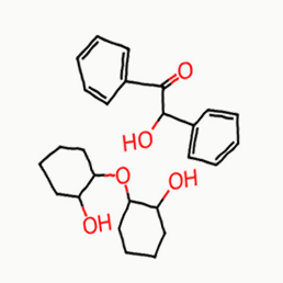 O=C(c1ccccc1)C(O)c1ccccc1.OC1CCCCC1OC1CCCCC1O